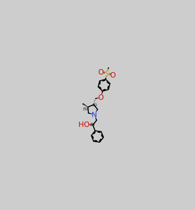 C[C@@H]1CN(C[C@H](O)c2ccccc2)C[C@H]1COc1ccc(S(C)(=O)=O)cc1